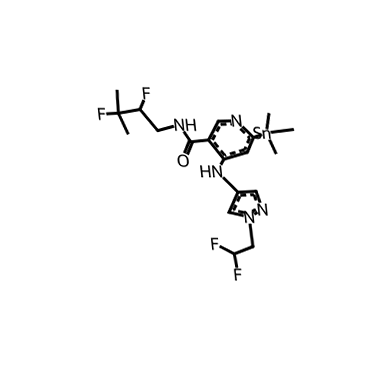 CC(C)(F)C(F)CNC(=O)c1cn[c]([Sn]([CH3])([CH3])[CH3])cc1Nc1cnn(CC(F)F)c1